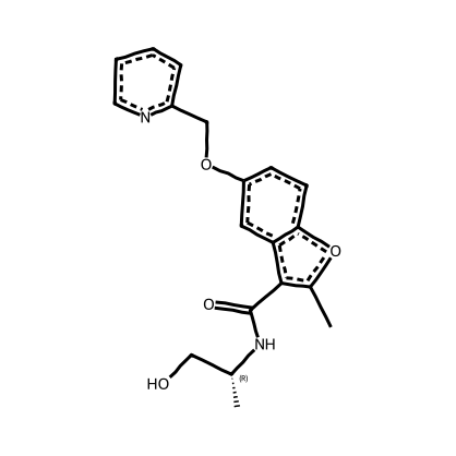 Cc1oc2ccc(OCc3ccccn3)cc2c1C(=O)N[C@H](C)CO